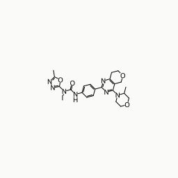 Cc1nnc(N(I)C(=O)Nc2ccc(-c3nc4c(c(N5CCOCC5C)n3)COCC4)cc2)o1